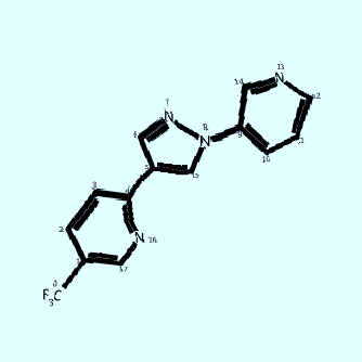 FC(F)(F)c1ccc(-c2cnn(-c3cccnc3)c2)nc1